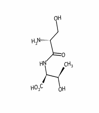 C[C@@H](O)[C@H](NC(=O)[C@H](N)CO)C(=O)O